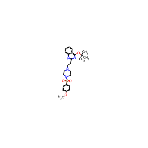 COc1ccc(S(=O)(=O)N2CCN(CCc3nc(OC(C)(C)C)c4ccccc4n3)CC2)cc1